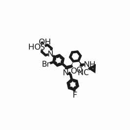 N#CC1(NC(=O)[C@@H]2CCCC[C@H]2c2oc(-c3ccc(F)cc3)nc2-c2ccc(N3CCS(O)(O)CC3)c(Br)c2)CC1